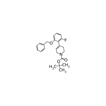 CC(C)(C)OC(=O)N1CC=C(c2c(F)cccc2OCc2ccccc2)CC1